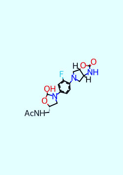 CC(=O)NC[C@H]1CN(c2ccc(N3C[C@@H]4OC(=O)N[C@@H]4C3)c(F)c2)C(O)O1